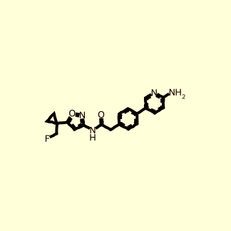 Nc1ccc(-c2ccc(CC(=O)Nc3cc(C4(CF)CC4)on3)cc2)cn1